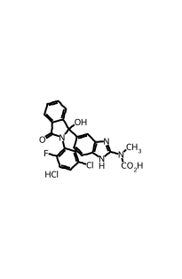 CN(C(=O)O)c1nc2cc(C3(O)c4ccccc4C(=O)N3c3cc(Cl)ccc3F)ccc2[nH]1.Cl